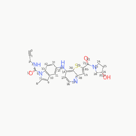 C#CCNC(=O)n1c(C)cc2cc(Nc3ccnc4cc(C(=O)N5CC[C@@H](O)C5)sc34)ccc21